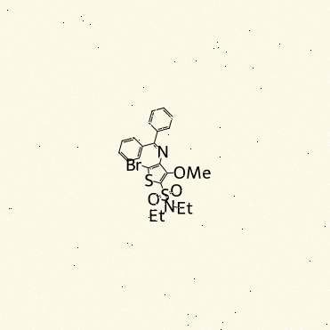 CCN(CC)S(=O)(=O)c1sc(Br)c(N=C(c2ccccc2)c2ccccc2)c1OC